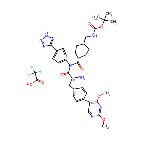 COc1ncc(-c2ccc(C[C@H](N)C(=O)N(c3ccc(-c4nn[nH]n4)cc3)C(=O)[C@H]3CC[C@H](CNC(=O)OC(C)(C)C)CC3)cc2)c(OC)n1.O=C(O)C(F)(F)F